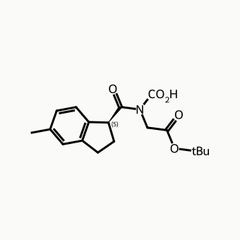 Cc1ccc2c(c1)CC[C@@H]2C(=O)N(CC(=O)OC(C)(C)C)C(=O)O